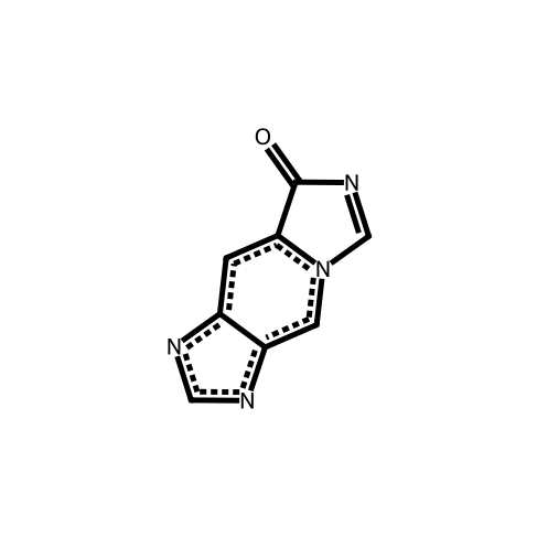 O=C1N=Cn2cc3ncnc-3cc21